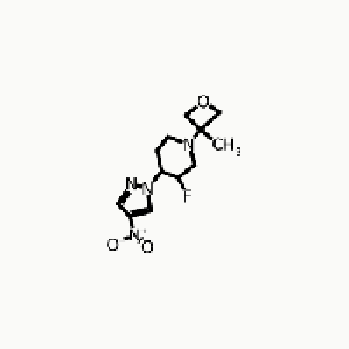 CC1(N2CCC(n3cc([N+](=O)[O-])cn3)C(F)C2)COC1